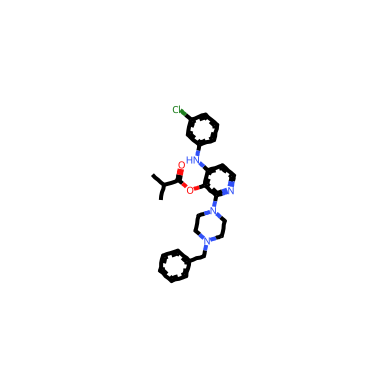 CC(C)C(=O)Oc1c(Nc2cccc(Cl)c2)ccnc1N1CCN(Cc2ccccc2)CC1